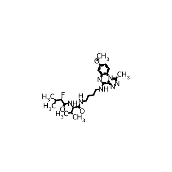 COc1ccc2c(c1)nc(NCCCCNC(=O)C(NC(=O)[C@@H](F)C(C)C)C(C)C)c1nnc(C)n12